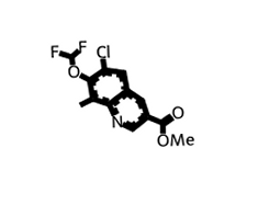 COC(=O)c1cnc2c(C)c(OC(F)F)c(Cl)cc2c1